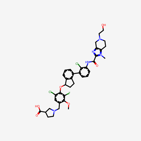 COc1c(CN2CCC(C(=O)O)C2)cc(Cl)c(OC2CCc3c(-c4cccc(NC(=O)c5nc6c(n5C)CCN(CCO)C6)c4Cl)cccc32)c1F